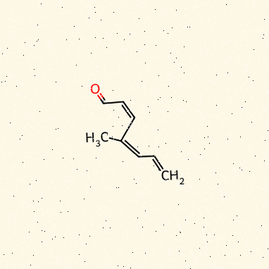 C=C/C=C(C)\C=C/C=O